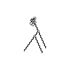 CCCCCCCCCCCCN(CCCCCCCCCCCC)CCCN(CCCCCCCCCCCC)CCCCCC(=O)ON1C(=O)CCC1=O